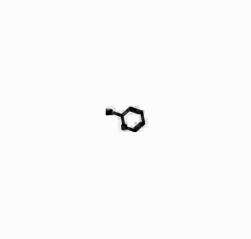 CCC1C=CC=CO1